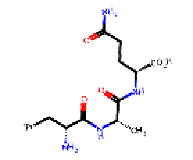 CC(C)C[C@@H](N)C(=O)N[C@@H](C)C(=O)N[C@@H](CCC(N)=O)C(=O)O